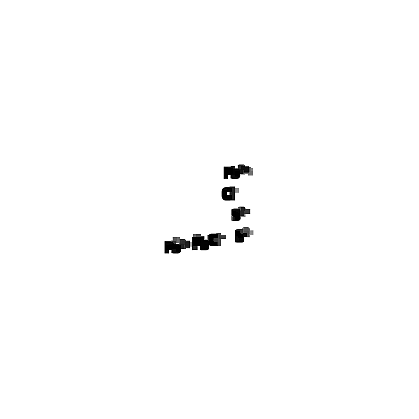 [Cl-].[Cl-].[Pb+2].[Pb+2].[Pb+2].[S-2].[S-2]